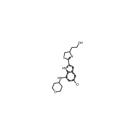 OCCC1CSC(c2cc3cc(Cl)cc(NC4CCOCC4)c3[nH]2)=N1